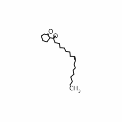 CCCCCCCC/C=C\CCCCCCCC(=O)C1CCCCC1=O